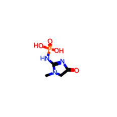 CN1CC(=O)N=C1NP(=O)(O)O